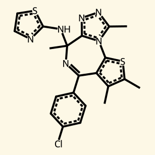 Cc1sc2c(c1C)C(c1ccc(Cl)cc1)=NC(C)(Nc1nccs1)c1nnc(C)n1-2